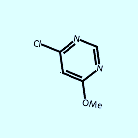 COc1[c]c(Cl)ncn1